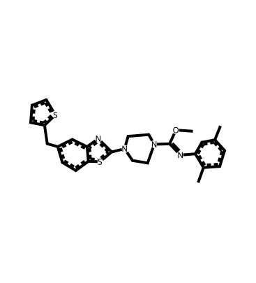 COC(=Nc1cc(C)ccc1C)N1CCN(c2nc3cc(Cc4cccs4)ccc3s2)CC1